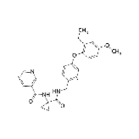 CCc1cc(OC)ccc1Oc1ccc(CNC(=O)C2(NC(=O)c3cncnc3)CC2)nc1